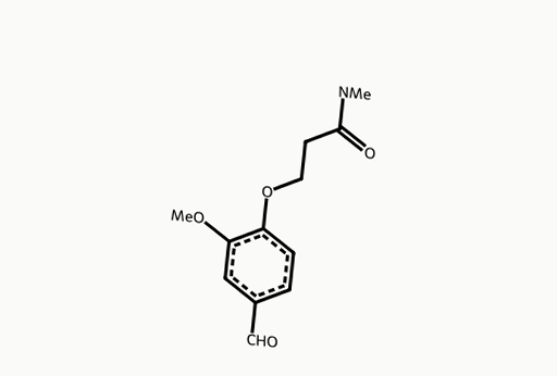 CNC(=O)CCOc1ccc(C=O)cc1OC